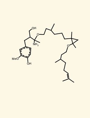 COc1cc(CC(CO)C(C)(N)OCCC(C)CCCC2(C)CC2(C)OCCC(C)CCC=C(C)C)ccc1O